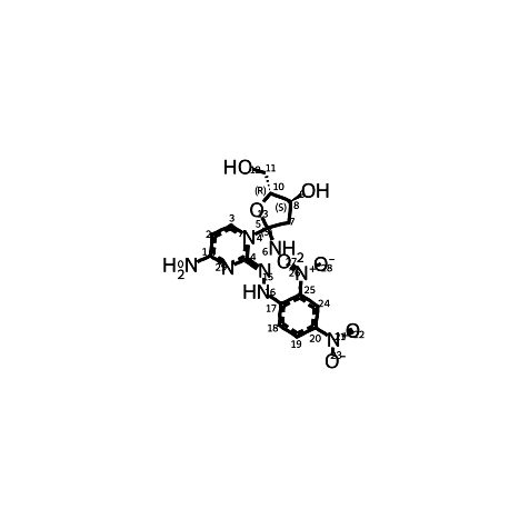 Nc1ccn([C@@]2(N)C[C@H](O)[C@@H](CO)O2)c(=NNc2ccc([N+](=O)[O-])cc2[N+](=O)[O-])n1